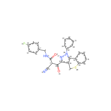 N#CC(C(=O)NCc1ccc(F)cc1)C(=O)c1nn(-c2ccccc2)c2c1CSc1ccccc1-2